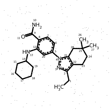 CCc1nn(-c2ccc(C(N)=O)c(N[C]3CCCCC3)c2)c2c1CCC(C)(C)C2